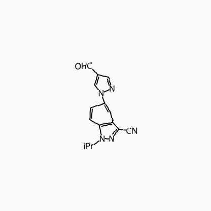 CC(C)n1nc(C#N)c2cc(-n3cc(C=O)cn3)ccc21